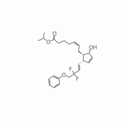 CC(C)OC(=O)CCC/C=C\C[C@@H]1[C@@H](/C=C/C(F)(F)COc2ccccc2)C=C[C@@H]1O